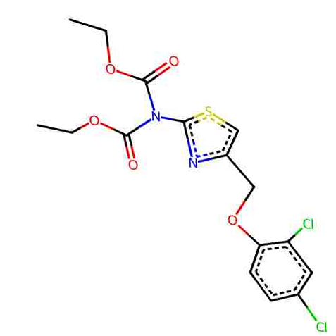 CCOC(=O)N(C(=O)OCC)c1nc(COc2ccc(Cl)cc2Cl)cs1